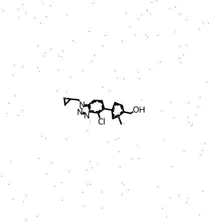 Cc1cc(-c2ccc3c(nnn3CC3CC3)c2Cl)ccc1CO